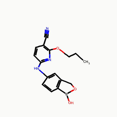 CCCOc1nc(Nc2ccc3c(c2)COB3O)ccc1C#N